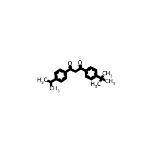 CC(C)c1ccc(C(=O)CC(=O)c2ccc(C(C)(C)C)cc2)cc1